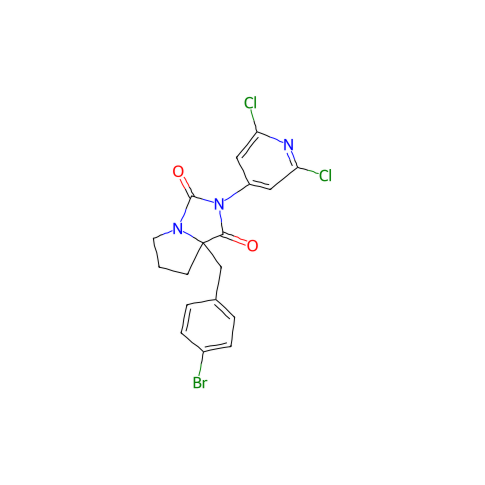 O=C1N(c2cc(Cl)nc(Cl)c2)C(=O)C2(Cc3ccc(Br)cc3)CCCN12